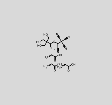 C=CC(=O)O.C=CC(=O)O.C=CC(=O)O.CC(OC(C#N)C(C#N)(C#N)C#N)C(CO)(CO)CO